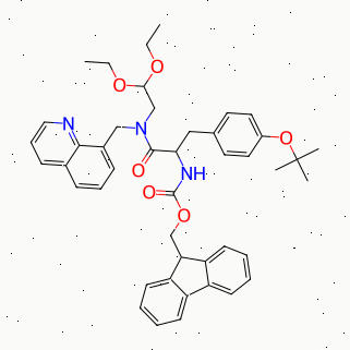 CCOC(CN(Cc1cccc2cccnc12)C(=O)C(Cc1ccc(OC(C)(C)C)cc1)NC(=O)OCC1c2ccccc2-c2ccccc21)OCC